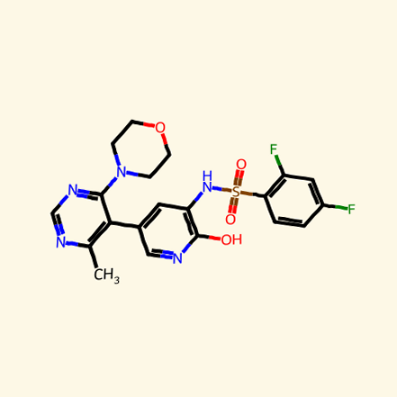 Cc1ncnc(N2CCOCC2)c1-c1cnc(O)c(NS(=O)(=O)c2ccc(F)cc2F)c1